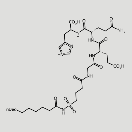 CCCCCCCCCCCCCCCC(=O)NS(=O)(=O)CCCC(=O)NCC(=O)N[C@@H](CCC(=O)O)C(=O)N[C@@H](CCC(N)=O)C(=O)N[C@@H](Cc1c[nH]cn1)C(=O)O